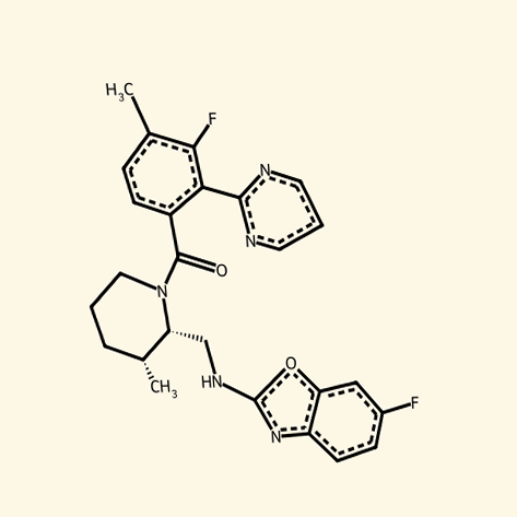 Cc1ccc(C(=O)N2CCC[C@@H](C)[C@H]2CNc2nc3ccc(F)cc3o2)c(-c2ncccn2)c1F